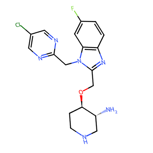 N[C@@H]1CNCC[C@H]1OCc1nc2ccc(F)cc2n1Cc1ncc(Cl)cn1